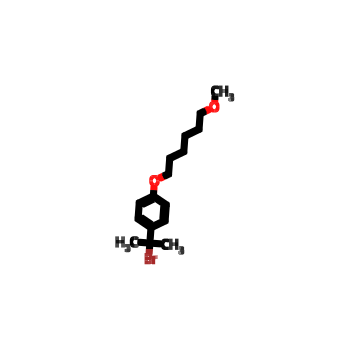 COCCCCCCOc1ccc(C(C)(C)Br)cc1